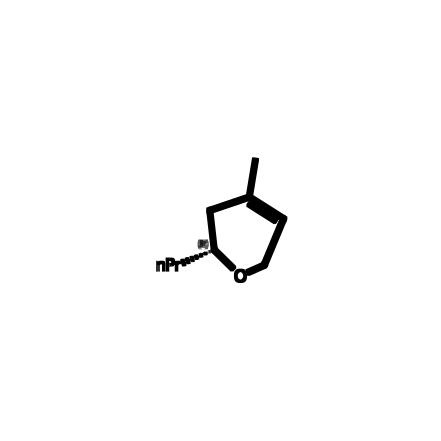 CCC[C@@H]1CC(C)=CCO1